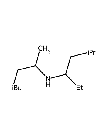 CCC(C)CC(C)NC(CC)CC(C)C